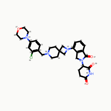 O=C1CCC(N2Cc3c(cccc3N3CC4(CCN(Cc5ccc(N6CCOCC6)cc5Cl)CC4)C3)C2=O)C(=O)N1